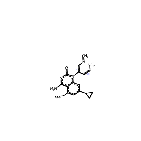 C=N/C=C(\C=C/C)n1c(=O)nc(N)c2c(OC)cc(C3CC3)cc21